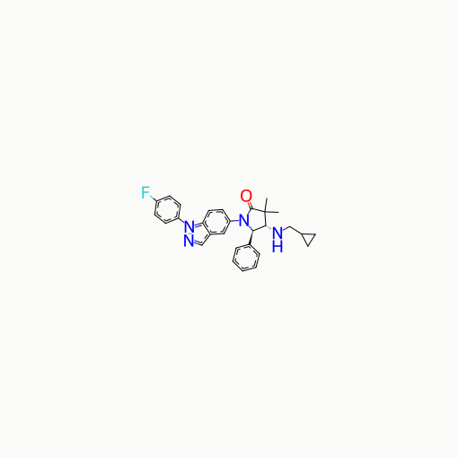 CC1(C)C(=O)N(c2ccc3c(cnn3-c3ccc(F)cc3)c2)[C@H](c2ccccc2)[C@H]1NCC1CC1